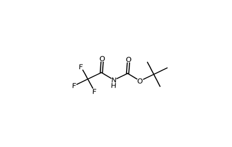 CC(C)(C)OC(=O)NC(=O)C(F)(F)F